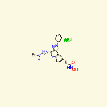 CCNCCNc1nc2ccc(/C=C/C(=O)NO)cc2c2cn(-c3ccccc3)nc12.Cl.Cl